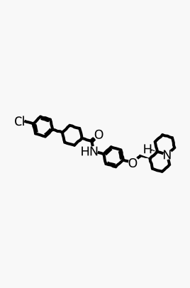 O=C(Nc1ccc(OC[C@@H]2CCCN3CCCC[C@H]23)cc1)C1CCC(c2ccc(Cl)cc2)CC1